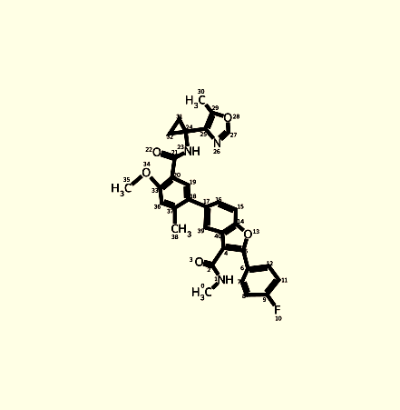 CNC(=O)c1c(-c2ccc(F)cc2)oc2ccc(-c3cc(C(=O)NC4(c5ncoc5C)CC4)c(OC)cc3C)cc12